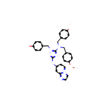 COc1ccc(CN(Cc2ccc(OC)cc2)c2nc(Nc3ccn4ccnc4c3)nn2Cc2ccc(OC)cc2)cc1